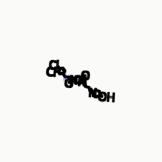 O=C(/C=C/c1ccc(Cl)c(Cl)c1)N1CCC(=O)N(CCCCN2CCC(O)CC2)CC1